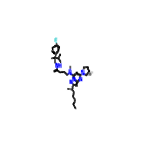 C=C(CCCN(C)c1cc(N2CC[C@H](C)C2)nc2cc(C(C)CCCCC)nn12)NCC(C)(C(=C)C)c1ccc(F)cc1